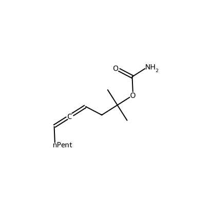 CCCCCC=C=CCC(C)(C)OC(N)=O